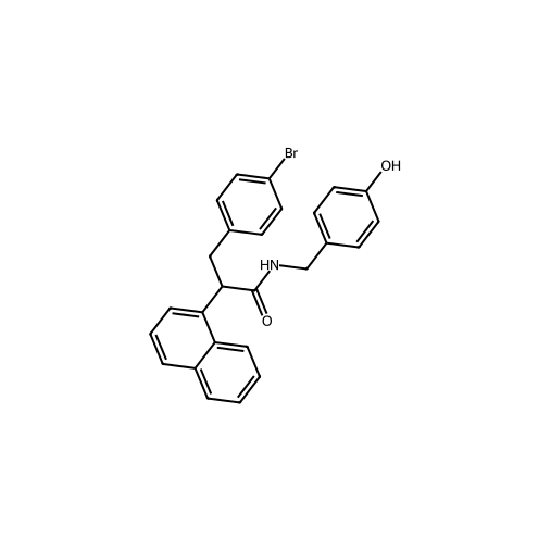 O=C(NCc1ccc(O)cc1)C(Cc1ccc(Br)cc1)c1cccc2ccccc12